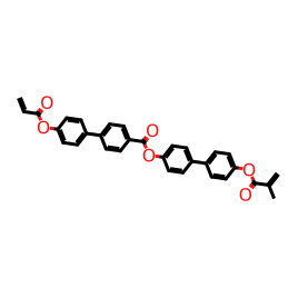 C=CC(=O)Oc1ccc(-c2ccc(C(=O)Oc3ccc(-c4ccc(OC(=O)C(=C)C)cc4)cc3)cc2)cc1